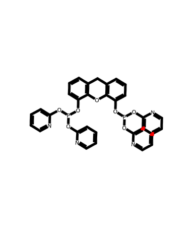 c1ccc(OP(Oc2ccccn2)Oc2cccc3c2Oc2c(cccc2OP(Oc2ccccn2)Oc2ccccn2)C3)nc1